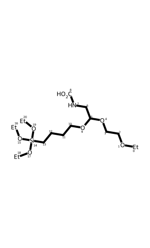 CCOCCOC(CNC(=O)O)OCCCC[Si](OCC)(OCC)OCC